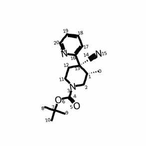 C[C@@H]1CN(C(=O)OC(C)(C)C)CC[C@@]1(C#N)c1ccccn1